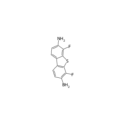 Bc1ccc2c(sc3c(F)c(N)ccc32)c1F